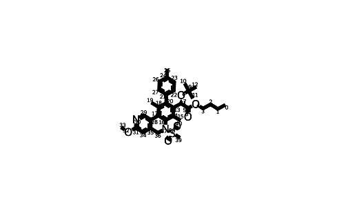 CCCCOC(=O)[C@@H](OC(C)(C)C)c1c(C)c2c(c(C)c1-c1ccc(C)cc1)-c1cnc(OC)cc1CN2S(C)(=O)=O